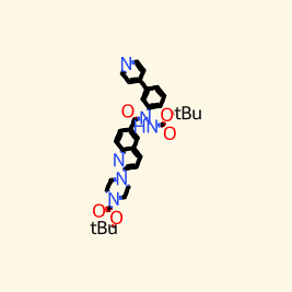 CC(C)(C)OC(=O)NN(C(=O)c1ccc2nc(N3CCN(C(=O)OC(C)(C)C)CC3)ccc2c1)c1cccc(-c2ccncc2)c1